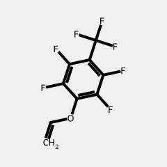 C=COc1c(F)c(F)c(C(F)(F)F)c(F)c1F